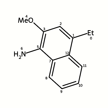 CCc1cc(OC)c(N)c2ccccc12